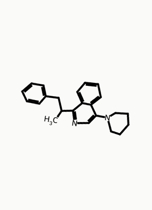 CC(Cc1ccccc1)c1ncc(N2CCCCC2)c2ccccc12